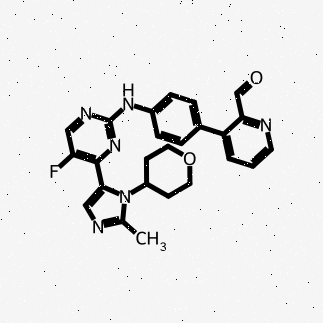 Cc1ncc(-c2nc(Nc3ccc(-c4cccnc4C=O)cc3)ncc2F)n1C1CCOCC1